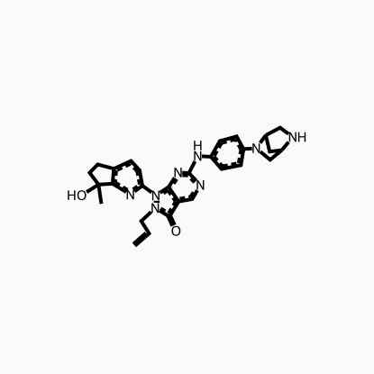 C=CCn1c(=O)c2cnc(Nc3ccc(N4CC5CC4CN5)cc3)nc2n1-c1ccc2c(n1)C(C)(O)CC2